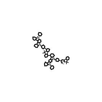 CC1(C)c2ccccc2-c2cc(-c3ccc(-n4c5cc6c(cc5c5c(-c7cccc8c7-c7cccc(-c9ccc(-n%10c%11ccccc%11c%11c%12c%13ccccc%13n(-c%13ccccc%13)c%12ccc%11%10)cc9)c7C8(C)C)cccc54)c4ccccc4n6-c4ccccc4)cc3)ccc21